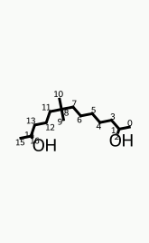 CC(O)CCCCCC(C)(C)CCCC(C)O